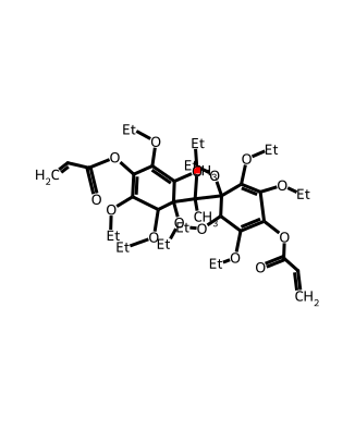 C=CC(=O)OC1=C(OCC)C(OCC)C(OCC)(C(C)(C)C2(OCC)C(OCC)=C(OCC)C(OC(=O)C=C)=C(OCC)C2OCC)C(OCC)=C1OCC